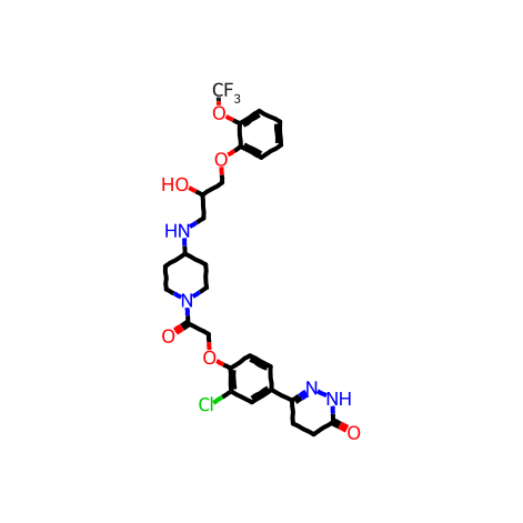 O=C1CCC(c2ccc(OCC(=O)N3CCC(NCC(O)COc4ccccc4OC(F)(F)F)CC3)c(Cl)c2)=NN1